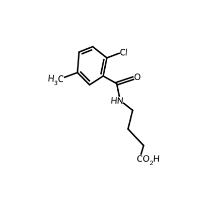 Cc1ccc(Cl)c(C(=O)NCCCC(=O)O)c1